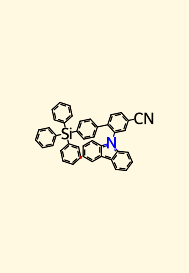 N#Cc1ccc(-c2ccc([Si](c3ccccc3)(c3ccccc3)c3ccccc3)cc2)c(-n2c3ccccc3c3ccccc32)c1